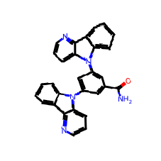 NC(=O)c1cc(-n2c3ccccc3c3ncccc32)cc(-n2c3ccccc3c3ncccc32)c1